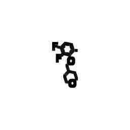 Fc1cc[c]c(OCC2CCOCC2)c1F